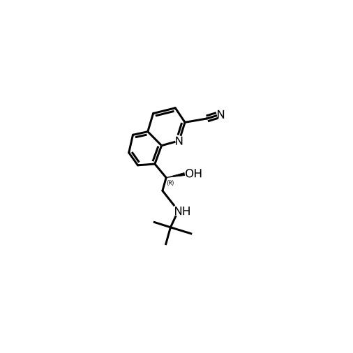 CC(C)(C)NC[C@H](O)c1cccc2ccc(C#N)nc12